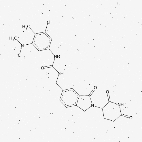 Cc1c(Cl)cc(NC(=O)NCc2ccc3c(c2)C(=O)N(C2CCC(=O)NC2=O)C3)cc1N(C)C